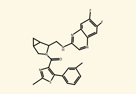 Cc1cccc(-c2sc(C)nc2C(=O)N2CC3CC3C2CNc2cnc3cc(F)c(F)cc3n2)c1